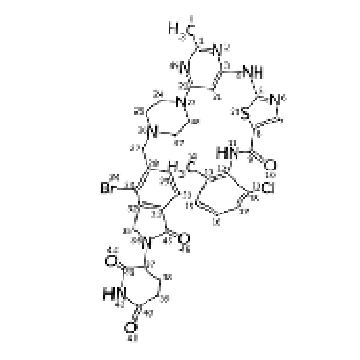 Cc1nc(Nc2ncc(C(=O)Nc3c(C)cccc3Cl)s2)cc(N2CCN(Cc3ccc4c(c3Br)CN(C3CCC(=O)NC3=O)C4=O)CC2)n1